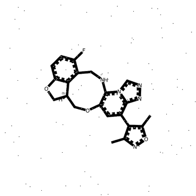 Cc1noc(C)c1-c1cc2c(n3cnnc13)NCc1c(F)ccc3c1[C@@H](CO3)CO2